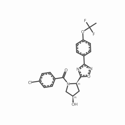 CC(F)(F)Oc1ccc(-c2noc([C@H]3C[C@@H](O)CN3C(=O)c3ccc(Cl)cc3)n2)cc1